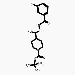 CC(C)(C)OC(=O)N1CCC(C(O)NNC(=O)c2cccc(Cl)c2)CC1